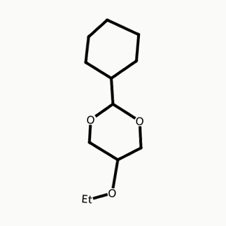 CCOC1COC(C2CCCCC2)OC1